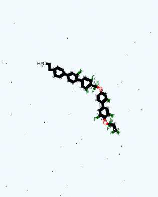 CCCc1ccc(-c2ccc(-c3cc(F)c(C(F)(F)Oc4ccc(-c5cc(F)c(OC(F)(F)C=C(F)F)c(F)c5)c(F)c4)c(F)c3)c(F)c2)cc1